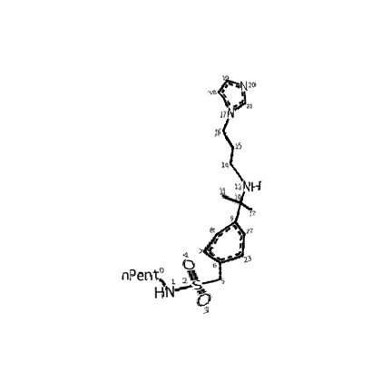 CCCCCNS(=O)(=O)Cc1ccc(C(C)(C)NCCCn2ccnc2)cc1